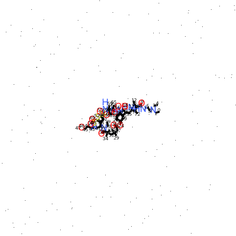 CCN(CC)CCNC(=O)c1c(C)[nH]c(/C=C2\C(=O)Nc3ccc(OC(=O)CC(C)(C)CC(C)(C)C(=O)N(CC)[C@H]4CN(CCCOC)S(=O)(=O)c5sc(S(=O)(=O)NC(C)(CC)C(=O)[C@H](C)O)cc54)cc32)c1C